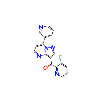 O=C(c1ncccc1F)c1cnn2c(-c3cccnc3)ccnc12